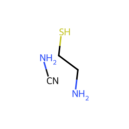 N#CN.NCCS